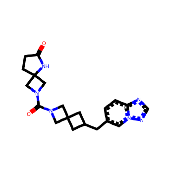 O=C1CCC2(CN(C(=O)N3CC4(CC(Cc5ccc6ncnn6c5)C4)C3)C2)N1